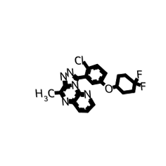 Cc1nc2cccnc2n2c(-c3cc(OC4CCC(F)(F)CC4)ccc3Cl)nnc12